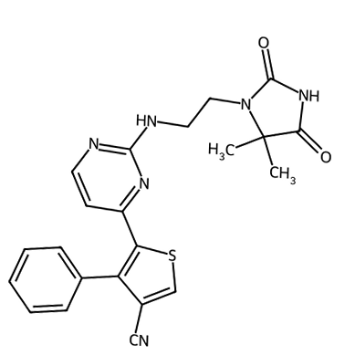 CC1(C)C(=O)NC(=O)N1CCNc1nccc(-c2scc(C#N)c2-c2ccccc2)n1